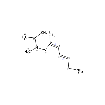 C/C(=C/C=C/CN)SN(C)C(C)C(F)(F)F